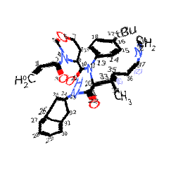 C=CC(=O)N1COCCC1C(=O)N(c1ccc(C(C)(C)C)cc1)C(C(=O)NC1Cc2ccccc2C1)/C(C)=C/C=C\N=C